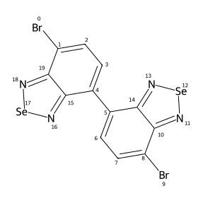 Brc1ccc(-c2ccc(Br)c3n[se]nc23)c2n[se]nc12